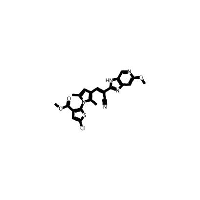 COC(=O)c1cc(Cl)sc1-n1c(C)cc(/C=C(\C#N)c2nc3cc(OC)ncc3[nH]2)c1C